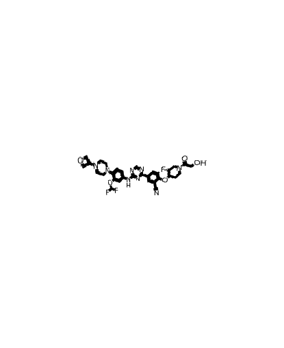 N#Cc1cc(-c2ncnc(Nc3ccc(N4CCN(C5COC5)CC4)c(OC(F)F)c3)n2)ccc1OC1CCN(C(=O)CO)C[C@H]1F